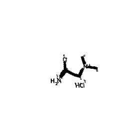 CN(C)CC(N)Cl.Cl